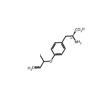 C=CC(I)Oc1ccc(C[C@H](N)C(=O)O)cc1